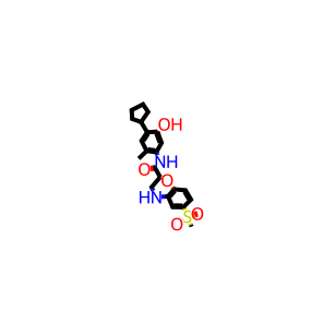 Cc1cc(C2CCCC2)c(O)cc1NC(=O)C1CNc2cc(S(C)(=O)=O)ccc2O1